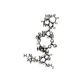 Nc1nc(NCC2(N)CC2)nc2c1ncn2[C@@H]1O[C@@H]2COP(=O)(S)O[C@H]3C[C@H](n4cc5c6c(ncnc64)NCCC5)O[C@@H]3COC(=O)O[C@@H]1[C@@H]2O